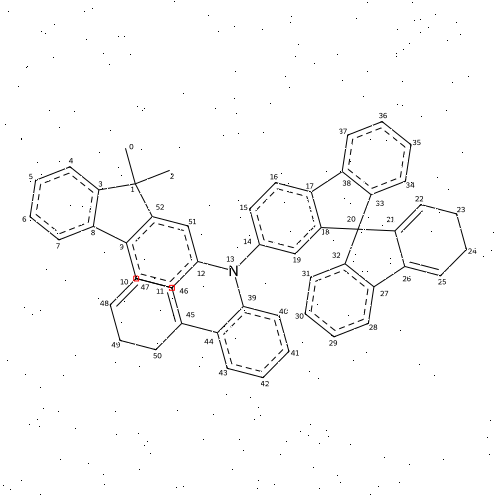 CC1(C)c2ccccc2-c2ccc(N(c3ccc4c(c3)C3(C5=CCCC=C5c5ccccc53)c3ccccc3-4)c3ccccc3C3=CC=CCC3)cc21